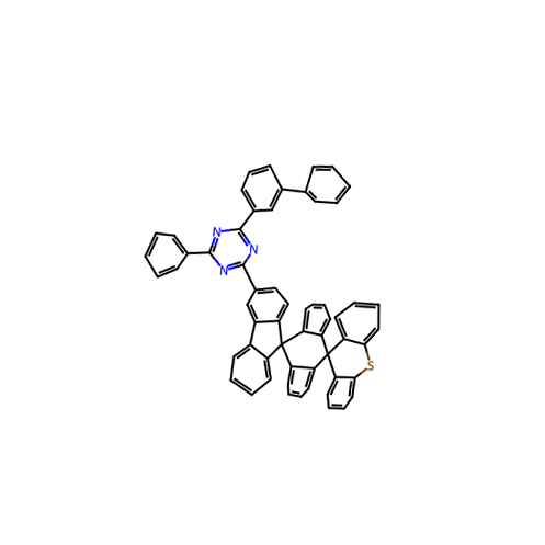 c1ccc(-c2cccc(-c3nc(-c4ccccc4)nc(-c4ccc5c(c4)-c4ccccc4C54c5ccccc5C5(c6ccccc6Sc6ccccc65)c5ccccc54)n3)c2)cc1